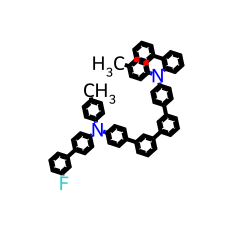 Cc1ccc(N(c2ccc(-c3cccc(F)c3)cc2)c2ccc(-c3cccc(-c4cccc(-c5ccc(N(c6ccc(C)cc6)c6ccccc6-c6ccccc6)cc5)c4)c3)cc2)cc1